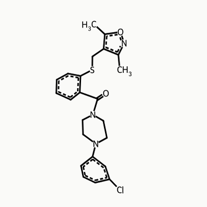 Cc1noc(C)c1CSc1ccccc1C(=O)N1CCN(c2cccc(Cl)c2)CC1